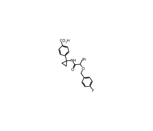 CC(C)C(OCc1ccc(F)cc1)C(=O)NC1(c2ccc(C(=O)O)cc2)CC1